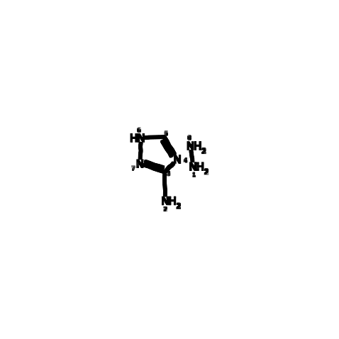 NN.Nc1nc[nH]n1